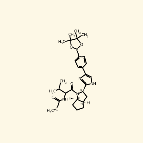 COC(=O)NC(C(=O)N1[C@@H](c2nc(-c3ccc(B4OC(C)(C)C(C)(C)O4)cc3)c[nH]2)C[C@H]2CCC[C@H]21)C(C)C